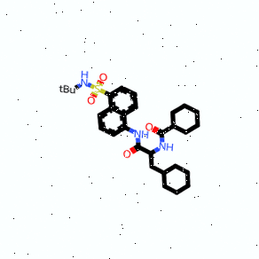 CC(C)(C)NS(=O)(=O)c1cccc2c(NC(=O)C(CC3CCCCC3)NC(=O)C3CCCCC3)cccc12